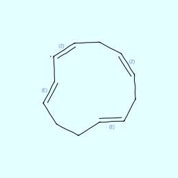 [C]1=C\C/C=C\C/C=C/CC/C=C/1